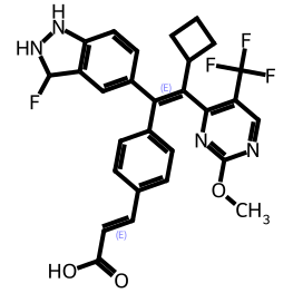 COc1ncc(C(F)(F)F)c(/C(=C(\c2ccc(/C=C/C(=O)O)cc2)c2ccc3c(c2)C(F)NN3)C2CCC2)n1